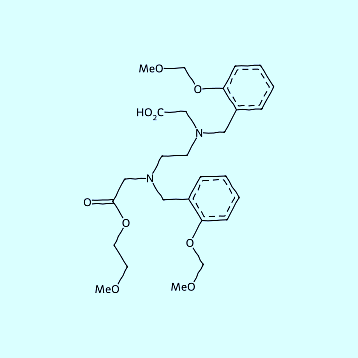 COCCOC(=O)CN(CCN(CC(=O)O)Cc1ccccc1OCOC)Cc1ccccc1OCOC